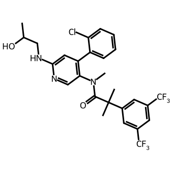 CC(O)CNc1cc(-c2ccccc2Cl)c(N(C)C(=O)C(C)(C)c2cc(C(F)(F)F)cc(C(F)(F)F)c2)cn1